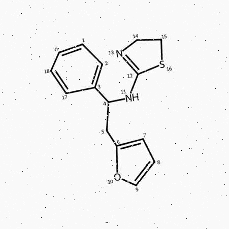 c1ccc(C(Cc2ccco2)NC2=NCCS2)cc1